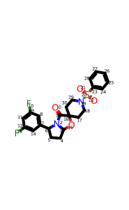 O=C1N2C(CCC2c2cc(F)cc(F)c2)OC12CCN(S(=O)(=O)c1ccccc1)CC2